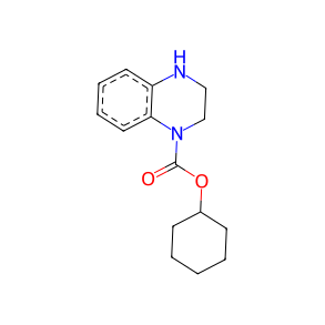 O=C(OC1CCCCC1)N1CCNc2ccccc21